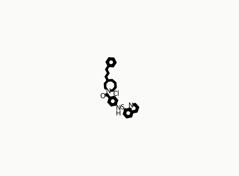 O=C(c1ccc(NSc2cccc3cccnc23)cc1Cl)N1CCCCC(CCCc2ccccc2)CC1